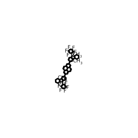 CC12CCCCC1(C)N(c1c(F)c(F)c(F)c(F)c1F)c1ccc(-c3cc4ccc5cc(-c6ccc7c(c6)C6(C)CCCCC6(C)N7c6c(F)c(F)c(F)c(F)c6F)cc6ccc(c3)c4c56)cc12